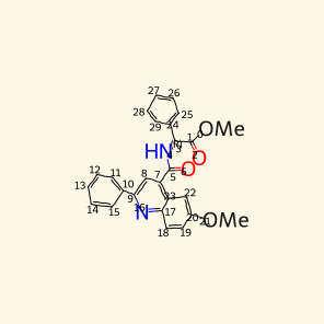 COC(=O)[C@H](NC(=O)c1cc(-c2ccccc2)nc2ccc(OC)cc12)c1ccccc1